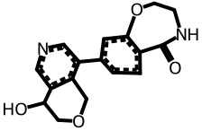 O=C1NCCOc2cc(-c3cncc4c3COCC4O)ccc21